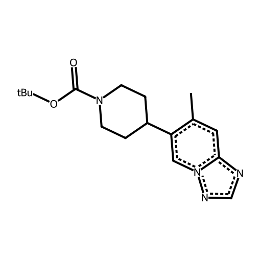 Cc1cc2ncnn2cc1C1CCN(C(=O)OC(C)(C)C)CC1